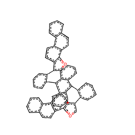 c1ccc(-c2coc3c2ccc2c4ccccc4ccc23)c(-c2c3ccccc3c(-c3ccccc3-c3coc4c3ccc3c5ccccc5ccc34)c3ccccc23)c1